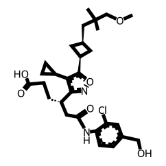 COCC(C)(C)C[C@H]1C[C@@H](c2onc([C@@H](CCC(=O)O)CC(=O)Nc3ccc(CO)cc3Cl)c2C2CC2)C1